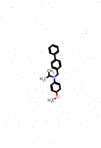 COC1C=CC(N(Cc2ccc(-c3ccccc3)cc2)C(C)C)=CC1